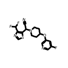 N#CC(c1scnc1C(F)F)N1CCC(Oc2cncc(F)c2)CC1